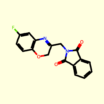 O=C1c2ccccc2C(=O)N1CC1=Nc2cc(F)ccc2OC1